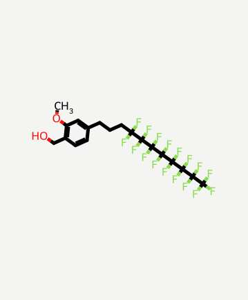 COc1cc(CCCC(F)(F)C(F)(F)C(F)(F)C(F)(F)C(F)(F)C(F)(F)C(F)(F)C(F)(F)F)ccc1CO